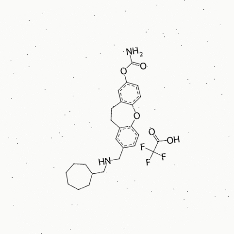 NC(=O)Oc1ccc2c(c1)CCc1cc(CNCC3CCCCCC3)ccc1O2.O=C(O)C(F)(F)F